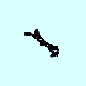 NCCCOCCCN.OCCOCCOCCOCCO